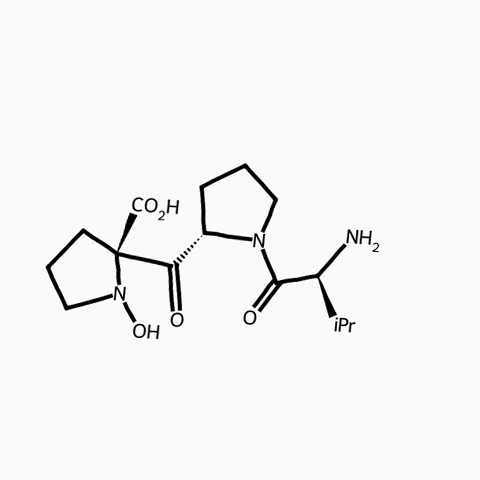 CC(C)[C@H](N)C(=O)N1CCC[C@H]1C(=O)[C@@]1(C(=O)O)CCCN1O